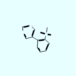 CS(=O)(=O)c1[c]cccc1-c1cncnc1